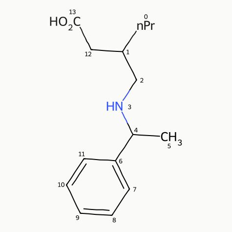 CCCC(CNC(C)c1ccccc1)CC(=O)O